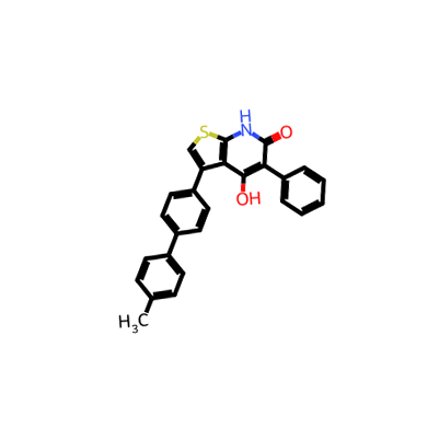 Cc1ccc(-c2ccc(-c3csc4[nH]c(=O)c(-c5ccccc5)c(O)c34)cc2)cc1